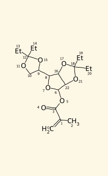 C=C(C)C(=O)OC1OC(C2COC(CC)(CC)O2)C2OC(CC)(CC)OC12